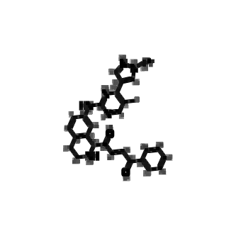 Cc1cnc(Nc2ccc3c(c2)C(C(=O)C=CC(=O)c2ccccc2)NCC3)nc1-c1cnn(C(C)C)c1